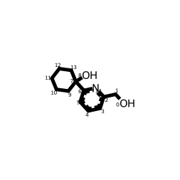 OCc1cccc(C2(O)CCCCC2)n1